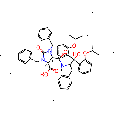 CC(C)Oc1ccccc1C(O)(c1ccccc1OC(C)C)C(Cc1ccccc1)N(C)C(=O)[C@H]1[C@@H](C(=O)O)N(Cc2ccccc2)C(=O)N1Cc1ccccc1